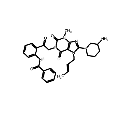 CC=CCn1c(N2CCCC(N)C2)nc2c1c(=O)n(CC(=O)c1ccccc1NC(=O)c1ccccc1)c(=O)n2C